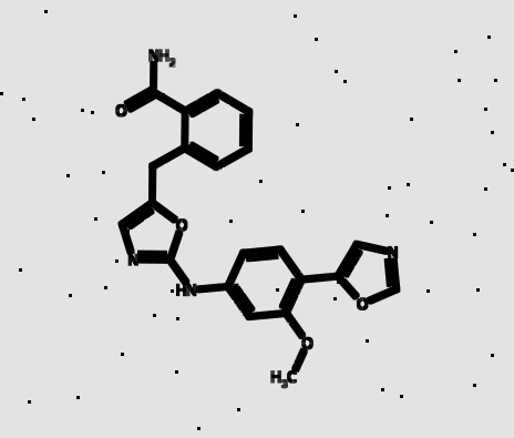 COc1cc(Nc2ncc(Cc3ccccc3C(N)=O)o2)ccc1-c1cnco1